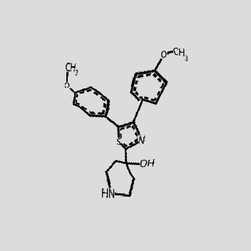 COc1ccc(-c2nc(C3(O)CCNCC3)sc2-c2ccc(OC)cc2)cc1